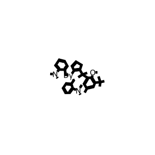 COc1c(C(C)(C)C)cc(C)cc1C(C)(C)C1=[C]([Dy]([CH2]c2ccccc2N(C)C)[CH2]c2ccccc2N(C)C)C=CC1